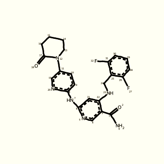 NC(=O)c1cnc(Nc2ccc(N3CCCCC3=O)cn2)cc1NCc1c(F)cccc1F